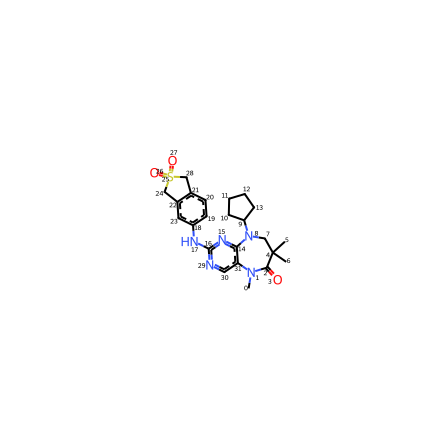 CN1C(=O)C(C)(C)CN(C2CCCC2)c2nc(Nc3ccc4c(c3)CS(=O)(=O)C4)ncc21